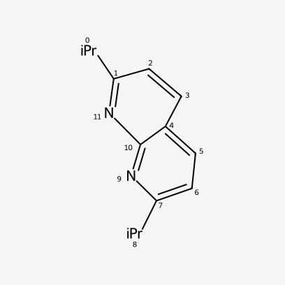 CC(C)c1ccc2ccc(C(C)C)nc2n1